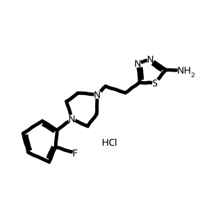 Cl.Nc1nnc(CCN2CCN(c3ccccc3F)CC2)s1